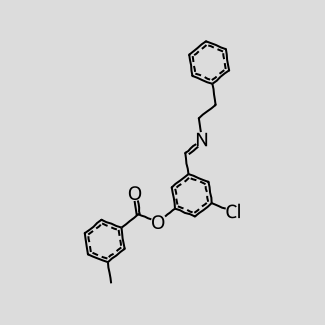 Cc1cccc(C(=O)Oc2cc(Cl)cc(C=NCCc3ccccc3)c2)c1